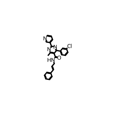 Cc1nc(-c2cccnc2)nc(-c2cccc(Cl)c2)c1C(=O)NCC=Cc1ccccc1